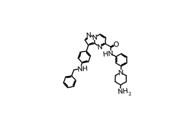 NC1CCN(c2cccc(NC(=O)c3ccn4ncc(-c5ccc(NCc6ccccc6)cc5)c4n3)c2)CC1